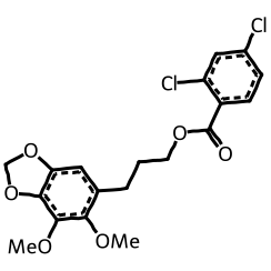 COc1c(CCCOC(=O)c2ccc(Cl)cc2Cl)cc2c(c1OC)OCO2